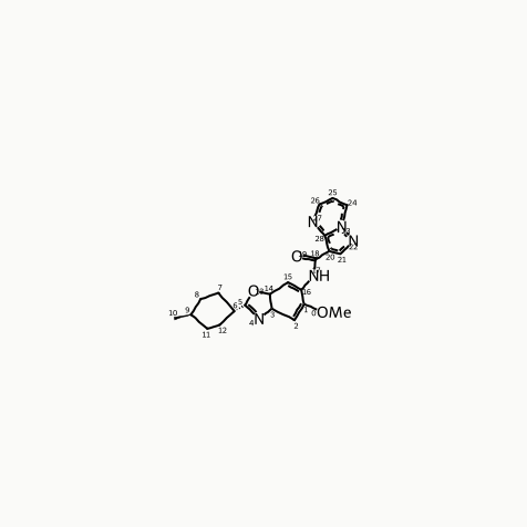 COC1=CC2N=C([C@H]3CC[C@H](C)CC3)OC2C=C1NC(=O)c1cnn2cccnc12